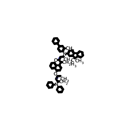 C=C/C(=C\C(=C)N(c1ccccc1)C1C=CC=CC1)Oc1ccc2c3c(cccc13)O/C(=C/C(=C)N(c1ccc3c(c1)C(C)(C)c1ccccc1-3)c1ccc(-c3ccccc3)cc1C)C2=C